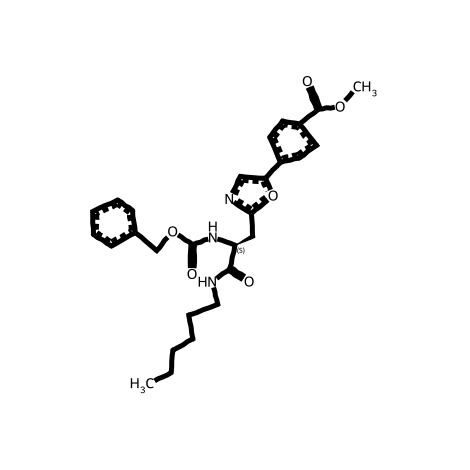 CCCCCCNC(=O)[C@H](Cc1ncc(-c2ccc(C(=O)OC)cc2)o1)NC(=O)OCc1ccccc1